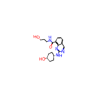 O=C(NCCCO)c1cccc2cnc(N[C@H]3CC[C@H](O)CC3)nc12